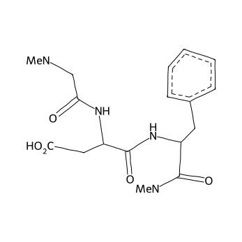 CNCC(=O)NC(CC(=O)O)C(=O)NC(Cc1ccccc1)C(=O)NC